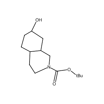 CC(C)(C)OC(=O)N1CCC2CCC(O)CC2C1